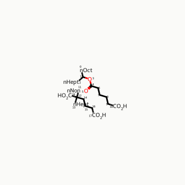 CCCCCCCCC(CCCCCCC)OC(=O)CCCCC(=O)O.CCCCCCCCCC(CCCCCCC)(CCCC(=O)O)C(=O)O